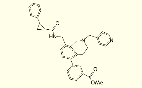 COC(=O)c1cccc(-c2ccc(CNC(=O)C3CC3c3ccccc3)c3c2CCN(Cc2ccncc2)C3)c1